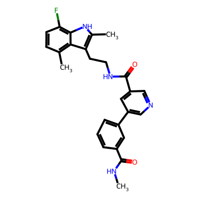 CNC(=O)c1cccc(-c2cncc(C(=O)NCCc3c(C)[nH]c4c(F)ccc(C)c34)c2)c1